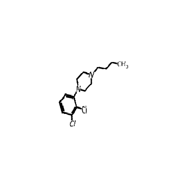 CCCCN1CCN(c2cccc(Cl)c2Cl)CC1